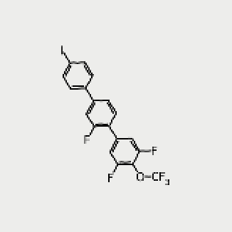 Fc1cc(-c2ccc(I)cc2)ccc1-c1cc(F)c(OC(F)(F)F)c(F)c1